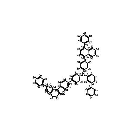 c1ccc(-c2cccc(N(c3ccc(-c4ccc5c(c4)oc4ccc6nc(-c7ccccc7)sc6c45)cc3)c3ccc(-c4ccc(-c5ccccc5)c5ccccc45)cc3)c2)cc1